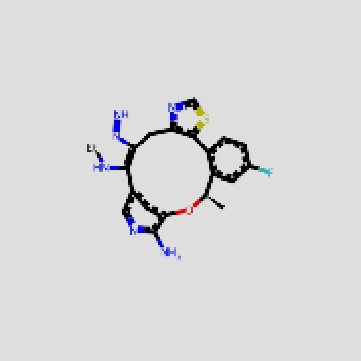 CCN/C1=C(\N=N)Cc2ncsc2-c2ccc(F)cc2[C@@H](C)Oc2cc1cnc2N